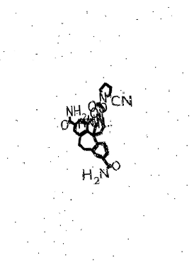 C[C@H](CC1(c2nc(=O)o[nH]2)c2ccc(C(N)=O)cc2CCc2cc(C(N)=O)ccc21)NCC(=O)N1CCC[C@H]1C#N